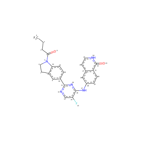 O=C(CCC(F)(F)F)N1CCc2cc(-c3ncc(F)c(Nc4ccc5c(=O)[nH]ccc5c4)n3)ccc21